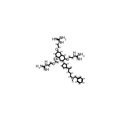 CC[C@H](C[C@H]1C([C@@H]2CCC(C(C)CCCN(C)Cc3ccccc3)C2)[C@H](OCCNC(=N)N)CC2C[C@H](OCCNC(=N)N)CC[C@@]21C)OCCNC(=N)N